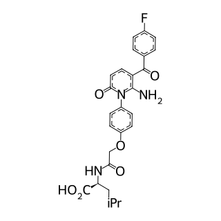 CC(C)C[C@H](NC(=O)COc1ccc(-n2c(N)c(C(=O)c3ccc(F)cc3)ccc2=O)cc1)C(=O)O